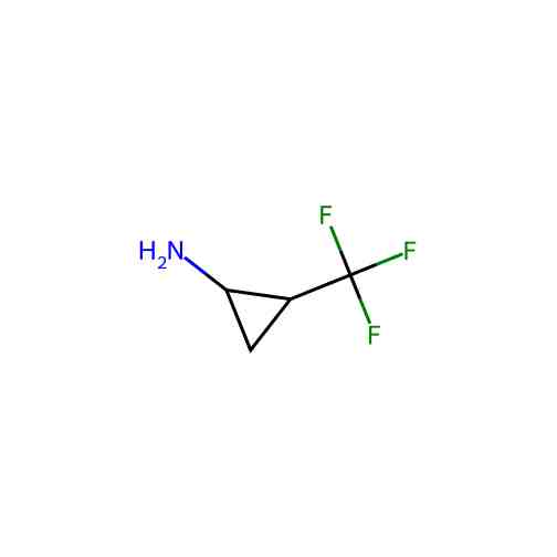 NC1CC1C(F)(F)F